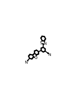 N#Cc1cc(-c2ccc3c(c2)oc2cc(C#N)ccc23)cc(-c2nc3ccccc3s2)c1